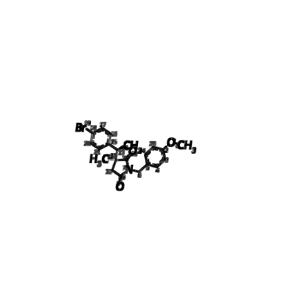 COc1ccc(CN2C(=O)C[C@@](C)([C@H](C)c3ccc(Br)cc3)C2=O)cc1